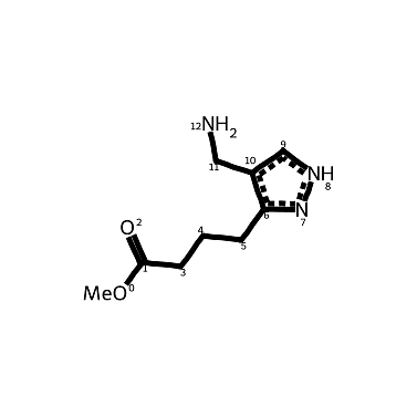 COC(=O)CCCc1n[nH]cc1CN